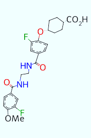 COc1ccc(C(=O)NCCNC(=O)c2ccc(O[C@H]3CC[C@@H](C(=O)O)CC3)c(F)c2)cc1F